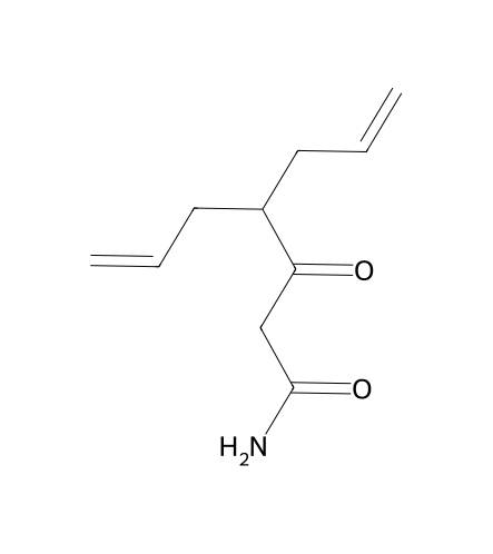 C=CCC(CC=C)C(=O)CC(N)=O